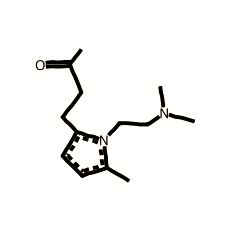 CC(=O)CCc1ccc(C)n1CCN(C)C